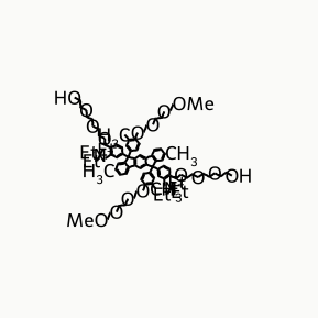 CC[N+](CC)(CC)Cc1cc(C2(c3ccc(OCCOCCOCCOC)c(C)c3)c3cc(C)ccc3-c3cc4c(cc32)-c2ccc(C)cc2C4(c2ccc(OCCOCCOCCOC)c(C)c2)c2ccc(COCCOCCOCCO)c(C[N+](CC)(CC)CC)c2)ccc1COCCOCCOCCO